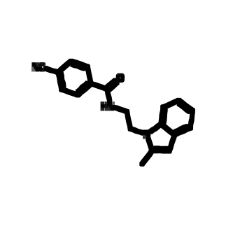 Cc1cc2ccccc2n1CCNC(=O)c1ccc(C#N)cc1